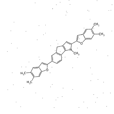 Cc1cc2cc(-c3ccc4c(c3)Cc3cc(-c5cc6cc(C)c(C)cc6o5)n(C)c3-4)oc2cc1C